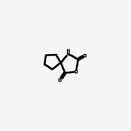 O=C1NC2(CCCC2)C(=O)O1